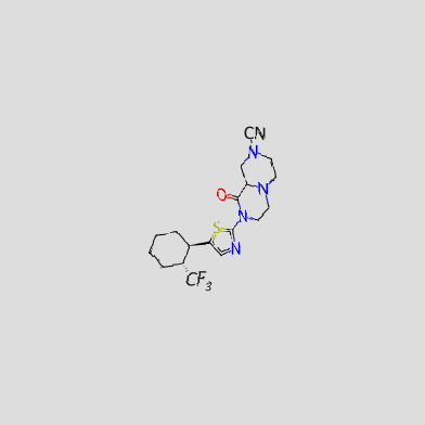 N#CN1CCN2CCN(c3ncc([C@@H]4CCCC[C@H]4C(F)(F)F)s3)C(=O)C2C1